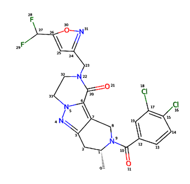 C[C@@H]1Cc2nn3c(c2CN1C(=O)c1ccc(Cl)c(Cl)c1)C(=O)N(Cc1cc(C(F)F)on1)CC3